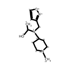 CC(O)N(Cc1ccon1)C1CCN(C)CC1